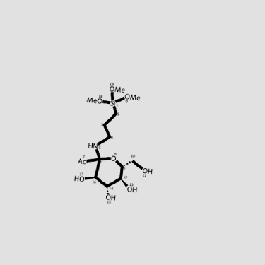 CO[Si](CCCNC1(C(C)=O)O[C@H](CO)[C@@H](O)[C@H](O)[C@H]1O)(OC)OC